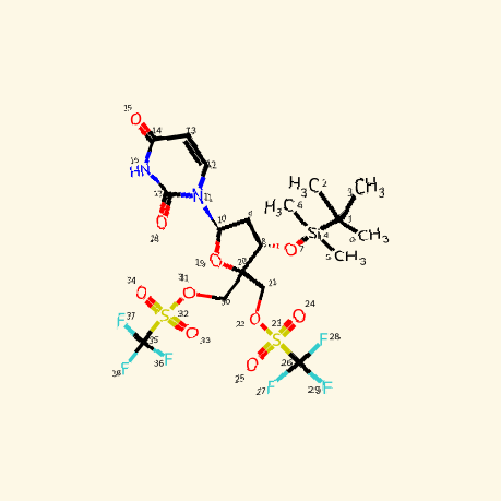 CC(C)(C)[Si](C)(C)O[C@H]1C[C@H](n2ccc(=O)[nH]c2=O)OC1(COS(=O)(=O)C(F)(F)F)COS(=O)(=O)C(F)(F)F